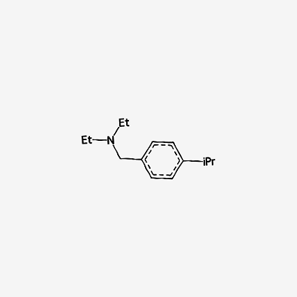 CCN(CC)Cc1ccc(C(C)C)cc1